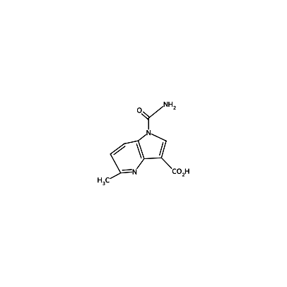 Cc1ccc2c(n1)c(C(=O)O)cn2C(N)=O